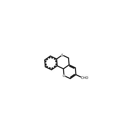 O=CC1=COC2C(=C1)CSc1ccccc12